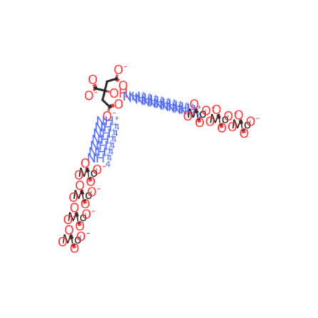 O=C([O-])CC(O)(CC(=O)[O-])C(=O)[O-].[NH4+].[NH4+].[NH4+].[NH4+].[NH4+].[NH4+].[NH4+].[NH4+].[NH4+].[NH4+].[NH4+].[NH4+].[NH4+].[NH4+].[NH4+].[NH4+].[NH4+].[O]=[Mo](=[O])([O-])[O-].[O]=[Mo](=[O])([O-])[O-].[O]=[Mo](=[O])([O-])[O-].[O]=[Mo](=[O])([O-])[O-].[O]=[Mo](=[O])([O-])[O-].[O]=[Mo](=[O])([O-])[O-].[O]=[Mo](=[O])([O-])[O-]